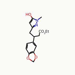 CCOC(=O)CC(Cc1cc(O)n(C)n1)c1ccc2c(c1)OCO2